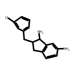 Nc1ccc2c(c1)C(N)C(Cc1cccc(Cl)c1)C2